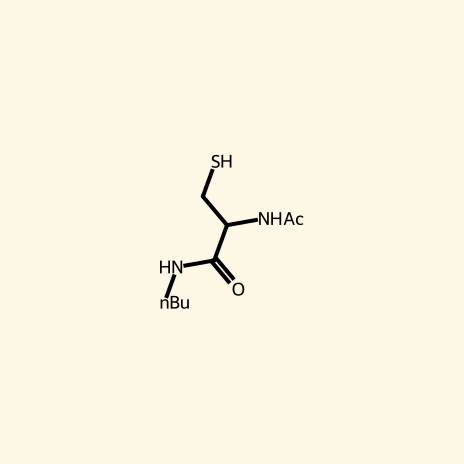 CCCCNC(=O)C(CS)NC(C)=O